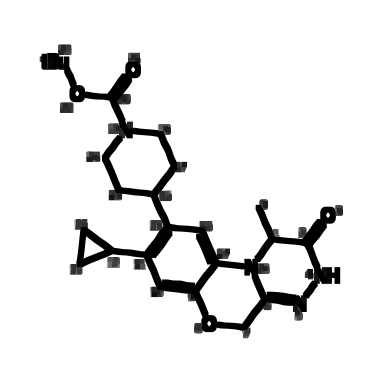 CC1C(=O)NN=C2COc3cc(C4CC4)c(C4CCN(C(=O)OC(C)(C)C)CC4)cc3N21